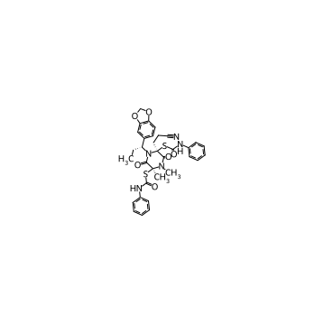 CC[C@H](c1ccc2c(c1)OCO2)N1C(=O)[C@](C)(SC(=O)Nc2ccccc2)N(C)C(=O)[C@]1(CCC#N)SC(=O)Nc1ccccc1